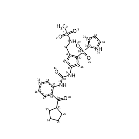 CS(=O)(=O)NCc1nc(NC(=O)Nc2cnccc2C(=O)C2CCCC2)sc1S(=O)(=O)c1ncc[nH]1